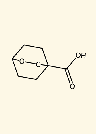 O=C(O)C12CCC(CC1)OC2